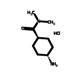 CN(C)C(=O)[C@H]1CC[C@H](N)CC1.Cl